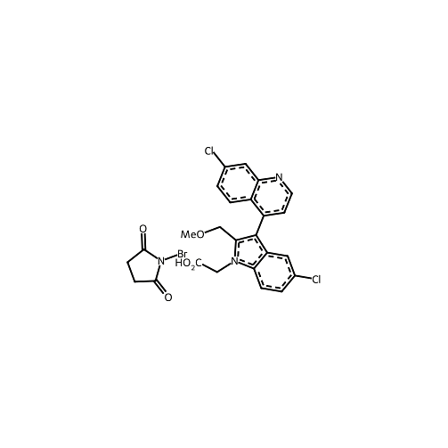 COCc1c(-c2ccnc3cc(Cl)ccc23)c2cc(Cl)ccc2n1CC(=O)O.O=C1CCC(=O)N1Br